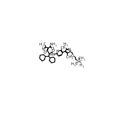 Cc1noc(C(C(=O)Nc2ccc(-c3c(C)nn(COCC[Si](C)(C)C)c3C)c(Cl)n2)C(C2CCCCC2)C2CCCCC2)c1C(N)=O